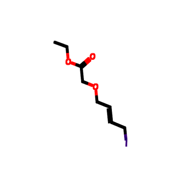 CCOC(=O)COC/C=C/CI